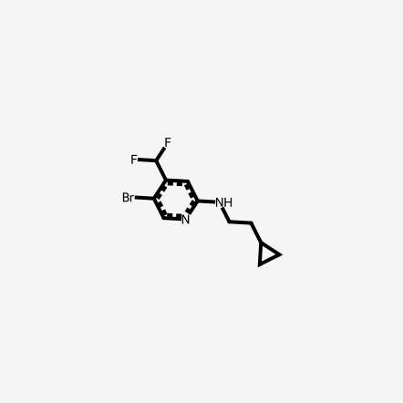 FC(F)c1cc(NCCC2CC2)ncc1Br